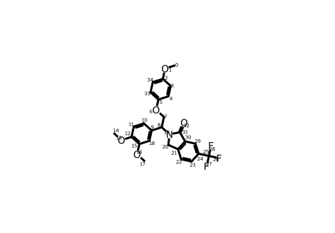 COc1ccc(OCC(c2ccc(OC)c(OC)c2)N2Cc3ccc(C(F)(F)F)cc3C2=O)cc1